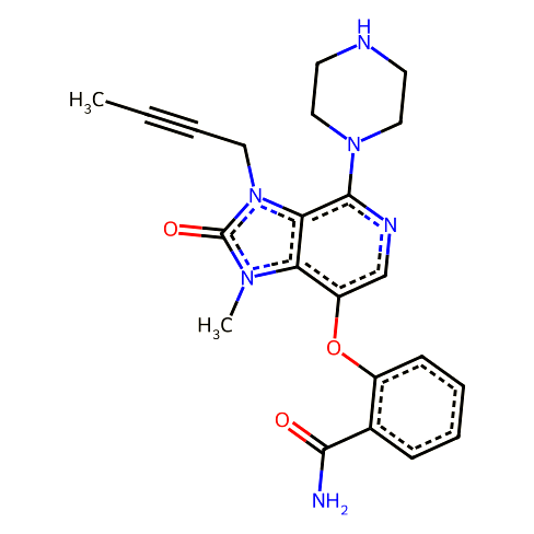 CC#CCn1c(=O)n(C)c2c(Oc3ccccc3C(N)=O)cnc(N3CCNCC3)c21